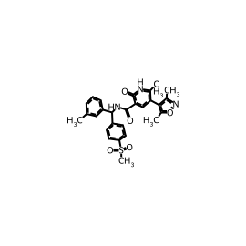 Cc1cccc(C(NC(=O)c2cc(-c3c(C)noc3C)c(C)[nH]c2=O)c2ccc(S(C)(=O)=O)cc2)c1